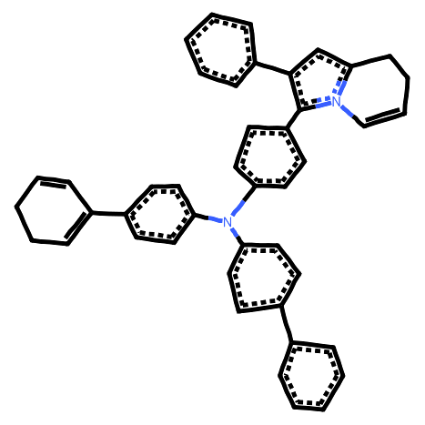 C1=CC(c2ccc(N(c3ccc(-c4ccccc4)cc3)c3ccc(-c4c(-c5ccccc5)cc5n4C=CCC5)cc3)cc2)=CCC1